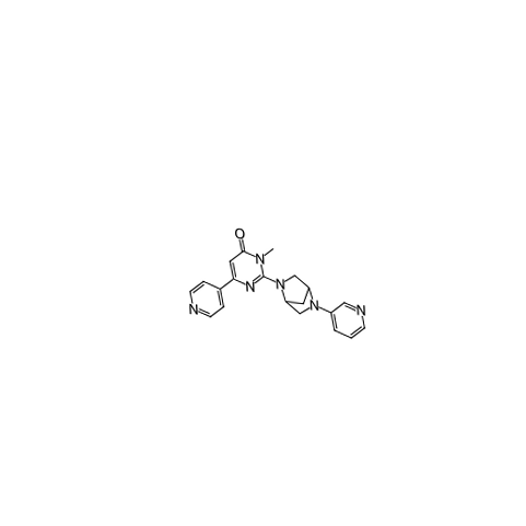 Cn1c(N2CC3CC2CN3c2cccnc2)nc(-c2ccncc2)cc1=O